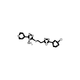 Nn1c(SCCc2nnc(-c3cccc(Cl)c3)o2)nnc1-c1ccncc1